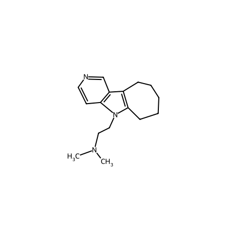 CN(C)CCn1c2c(c3cnccc31)CCCCC2